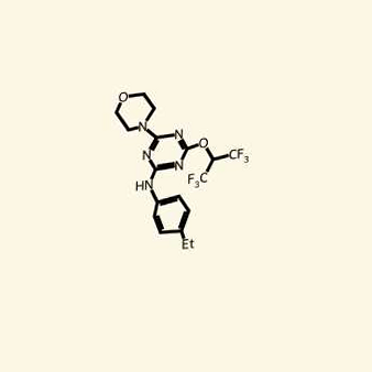 CCc1ccc(Nc2nc(OC(C(F)(F)F)C(F)(F)F)nc(N3CCOCC3)n2)cc1